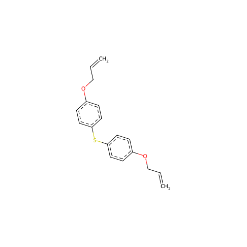 C=CCOc1ccc(Sc2ccc(OCC=C)cc2)cc1